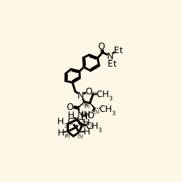 CCN(CC)C(=O)c1ccc(-c2cccc(CN3O[C@@H](C)[C@@H]([C@H](C)O)[C@H]3C(=O)N[C@H]3C[C@H]4C[C@@H]([C@@H]3C)C4(C)C)c2)cc1